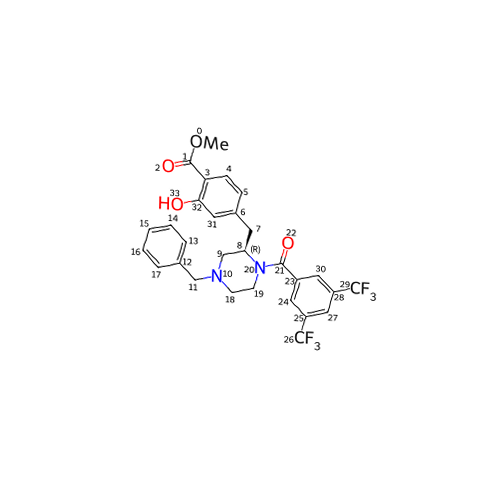 COC(=O)c1ccc(C[C@@H]2CN(Cc3ccccc3)CCN2C(=O)c2cc(C(F)(F)F)cc(C(F)(F)F)c2)cc1O